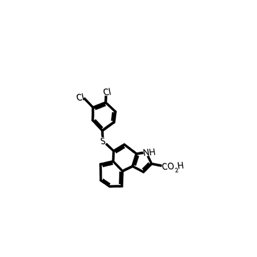 O=C(O)c1cc2c(cc(Sc3ccc(Cl)c(Cl)c3)c3ccccc32)[nH]1